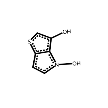 Oc1csc2ccn(O)c12